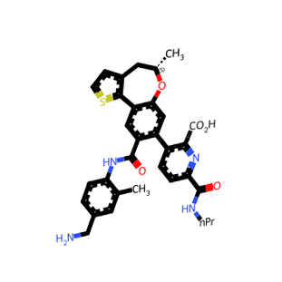 CCCNC(=O)c1ccc(-c2cc3c(cc2C(=O)Nc2ccc(CN)cc2C)-c2sccc2C[C@H](C)O3)c(C(=O)O)n1